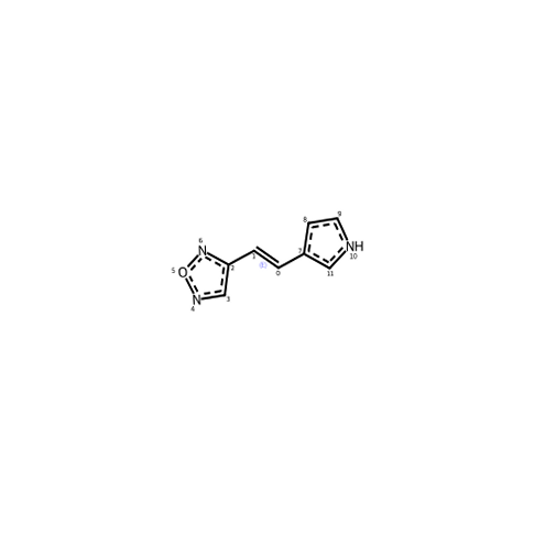 C(=C\c1cnon1)/c1cc[nH]c1